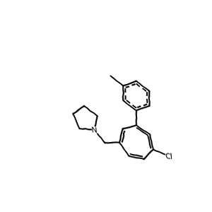 Cc1cccc(C2=C=C(Cl)C=CC(CN3CCCC3)=C2)c1